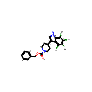 O=C(OCc1ccccc1)N1CCC(c2c[nH]c3c(F)c(F)c(F)c(F)c23)CC1